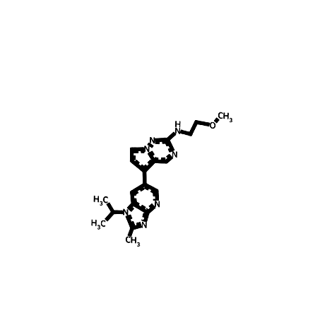 COCCNc1ncc2c(-c3cnc4nc(C)n(C(C)C)c4c3)ccn2n1